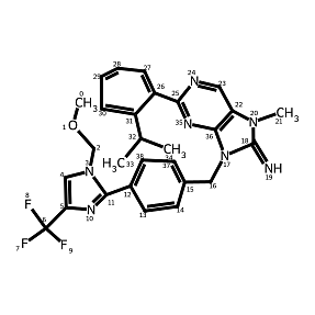 COCn1cc(C(F)(F)F)nc1-c1ccc(Cn2c(=N)n(C)c3cnc(-c4ccccc4C(C)C)nc32)cc1